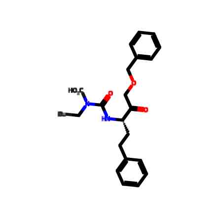 CCC(C)CN(C(=O)O)C(=O)N[C@@H](CCc1ccccc1)C(=O)COCc1ccccc1